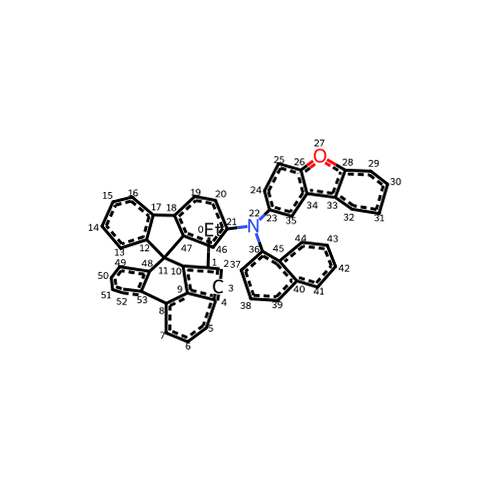 CCc1ccc2cccc3c2c1C1(c2ccccc2-c2ccc(N(c4ccc5oc6ccccc6c5c4)c4cccc5ccccc45)cc21)c1ccccc1-3